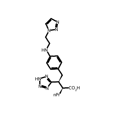 CCC[C@H](C(=O)O)[C@H](Cc1ccc(NCCn2ccnn2)cc1)c1nn[nH]n1